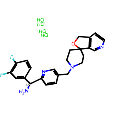 Cl.Cl.Cl.Cl.N[C@@H](c1ccc(F)c(F)c1)c1ccc(CN2CCC3(CC2)OCc2ccncc23)cn1